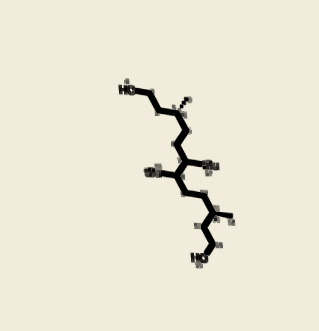 C[C@@H](CCO)CCC(C(CC[C@@H](C)CCO)C(C)(C)C)C(C)(C)C